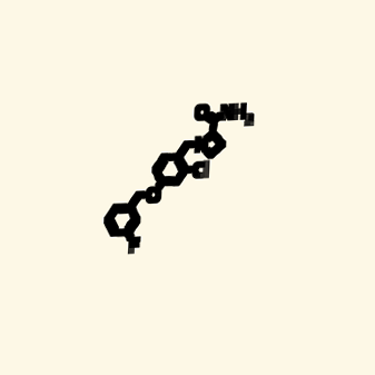 NC(=O)C1CCN1Cc1ccc(OCc2cccc(F)c2)cc1Cl